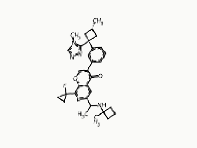 CC(NC1(C)CCC1)c1cc2c(=O)c(-c3cccc([C@]4(c5nncn5C)C[C@@H](C)C4)c3)coc2c(C2(F)CC2)n1